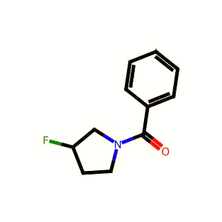 O=C(c1cc[c]cc1)N1CCC(F)C1